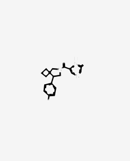 O=C(c1cncc(=O)[nH]1)N1CC(c2ccc(Cl)cc2)C2(CCC2)C1